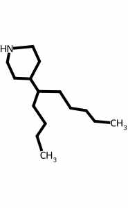 CCCCCC(CCCC)C1CCNCC1